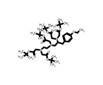 CCOc1ccc(CC(CN(CCN(CC(=O)OC(C)(C)C)CC(=O)OC(C)(C)C)CC(=O)OC(C)(C)C)N(CC(=O)OC(C)(C)C)CC(=O)OC(C)(C)C)cc1